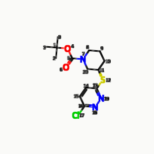 CC(C)(C)OC(=O)N1CCC[C@@H](Sc2ccc(Cl)nn2)C1